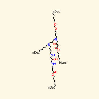 CCCCCCCCCCCCCCCOCOC/C=C/CN(C/C=C/C(=O)OCCCCCCCCCCCCCCC)CC(O)CN(CCCCCCCCCCCCCCC)CCCCNCC(O)CNC/C=C/C(=O)OCCCCCCCCCCCCCCC